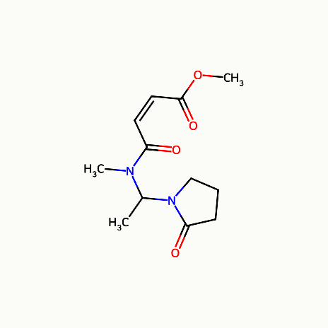 COC(=O)/C=C\C(=O)N(C)C(C)N1CCCC1=O